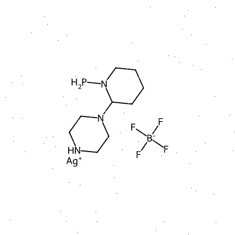 F[B-](F)(F)F.PN1CCCCC1N1CCNCC1.[Ag+]